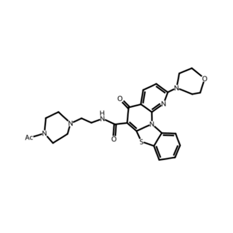 CC(=O)N1CCN(CCNC(=O)c2c(=O)c3ccc(N4CCOCC4)nc3n3c2sc2ccccc23)CC1